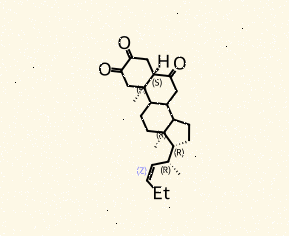 CC/C=C\[C@@H](C)[C@H]1CCC2C3CC(=O)[C@H]4CC(=O)C(=O)C[C@]4(C)C3CC[C@@]21C